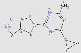 Cc1cc(C2CC2)nc(C2CC3CNCC3C2)n1